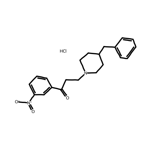 Cl.O=C(CCN1CCC(Cc2ccccc2)CC1)c1cccc([N+](=O)[O-])c1